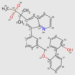 CC(C)(c1cc(-c2cccc(COc3ccccc3-c3ccccc3O)c2)c2ncccc2c1)S(C)(=O)=O